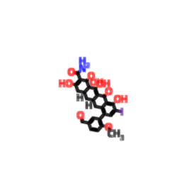 COc1ccc(C=O)cc1-c1cc(I)c(O)c2c1C[C@H]1C[C@H]3CC(O)=C(C(N)=O)C(=O)[C@@]3(O)C(O)=C1C2=O